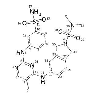 Cc1cnc(Nc2cccc(S(N)(=O)=O)c2)nc1Nc1ccc2c(c1)CN(S(=O)(=O)N(C)C)C2